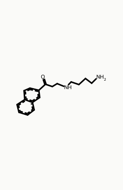 NCCCCNCCC(=O)c1ccc2ccccc2c1